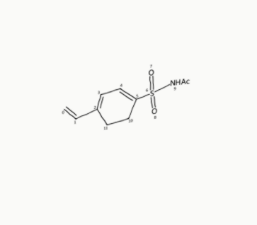 C=CC1=CC=C(S(=O)(=O)NC(C)=O)CC1